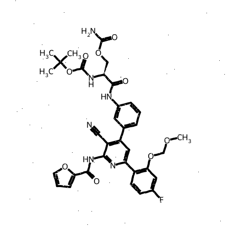 COCOc1cc(F)ccc1-c1cc(-c2cccc(NC(=O)[C@H](COC(N)=O)NC(=O)OC(C)(C)C)c2)c(C#N)c(NC(=O)c2ccco2)n1